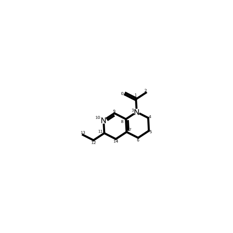 C=C(C)N1CCCC2=C1C=NC(CC)C2